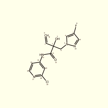 C=CC(O)(Cn1cc(F)cn1)C(=O)Nc1ccnc(Cl)c1